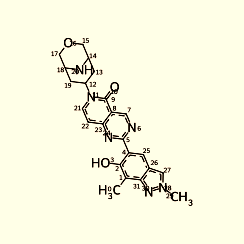 Cc1c(O)c(-c2ncc3c(=O)n(C4CC5COCC(C4)N5)ccc3n2)cc2cn(C)nc12